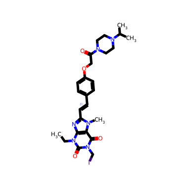 CCn1c(=O)n(CI)c(=O)c2c1nc(/C=C/c1ccc(OCC(=O)N3CCN(C(C)C)CC3)cc1)n2C